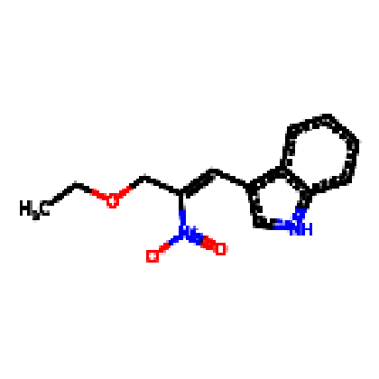 CCOCC(=Cc1c[nH]c2ccccc12)[N+](=O)[O-]